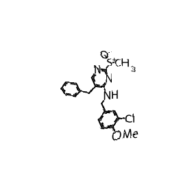 COc1ccc(CNc2nc([S+](C)[O-])ncc2Cc2ccccc2)cc1Cl